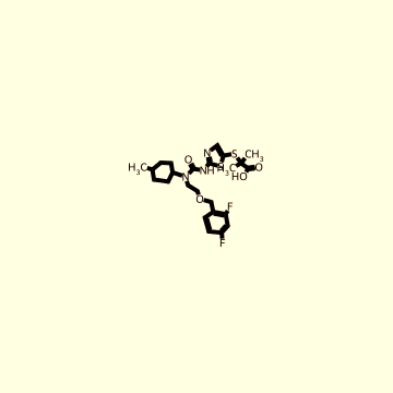 CC1CCC(N(CCOCc2ccc(F)cc2F)C(=O)Nc2ncc(SC(C)(C)C(=O)O)s2)CC1